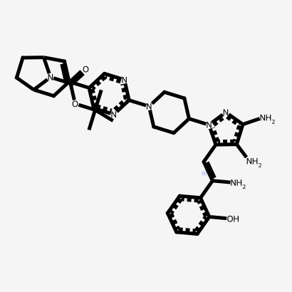 CC(C)(C)OC(=O)N1C2C=C(c3cnc(N4CCC(n5nc(N)c(N)c5/C=C(\N)c5ccccc5O)CC4)nc3)CC1CC2